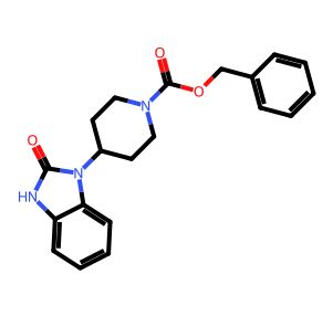 O=C(OCc1ccccc1)N1CCC(n2c(=O)[nH]c3ccccc32)CC1